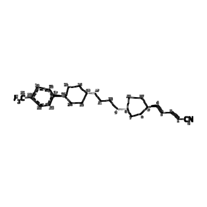 N#C/C=C/C=C/[C@H]1CC[C@H](CCCC[C@H]2CC[C@H](c3ccc(C(F)(F)F)cc3)CC2)CC1